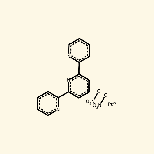 O=[N+]([O-])[O-].O=[N+]([O-])[O-].[Pt+2].c1ccc(-c2cccc(-c3ccccn3)n2)nc1